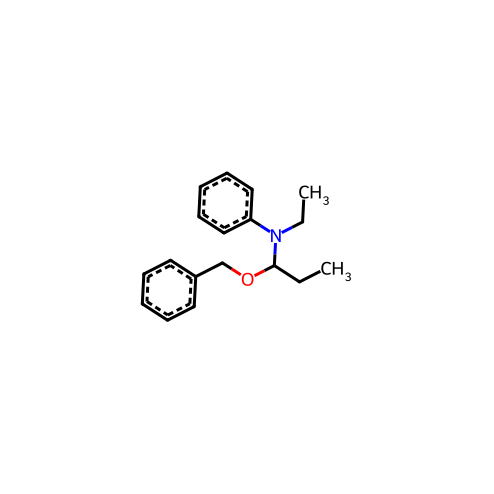 CCC(OCc1ccccc1)N(CC)c1ccccc1